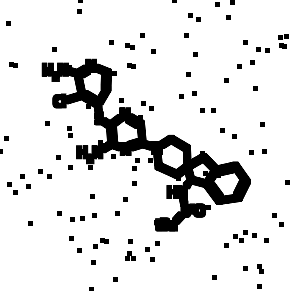 CC(C)(C)[S+]([O-])N[C@@H]1c2ccccc2CC12CCN(c1cnc(Sc3ccnc(N)c3Cl)c(N)n1)CC2